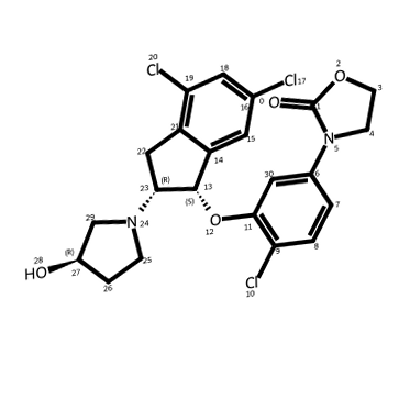 O=C1OCCN1c1ccc(Cl)c(O[C@H]2c3cc(Cl)cc(Cl)c3C[C@H]2N2CC[C@@H](O)C2)c1